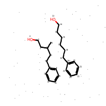 CC(CCO)CCc1ccccc1.OCCCCCCc1ccccc1